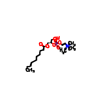 CCCCCCCCCC(=O)OC[C@H](CO)OP(=O)([O-])OCC[N+](C)(C)C